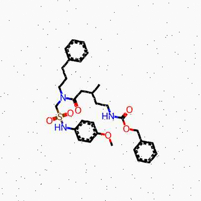 COc1ccc(NS(=O)(=O)CN(CCCc2ccccc2)C(=O)CC(C)CCNC(=O)OCc2ccccc2)cc1